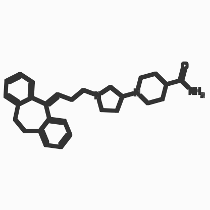 NC(=O)C1CCN(C2CCN(CCC=C3c4ccccc4CCc4ccccc43)C2)CC1